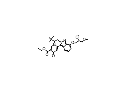 CCOC(=O)c1cn2c(cc1=O)-c1c3cccc(OCC(COC)OC)c3nn1CC2C(C)(C)C